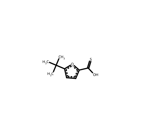 CC(C)(C)c1ccc(C(O)=S)o1